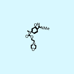 CNc1noc2cc(N(C)C(=O)OCCN3CCOCC3)ccc12